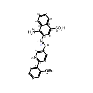 CC(C)COc1ccccc1-c1ccc(/N=N/c2cc(S(=O)(=O)O)c3ccccc3c2N)cn1